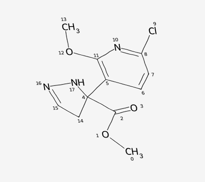 COC(=O)C1(c2ccc(Cl)nc2OC)CC=NN1